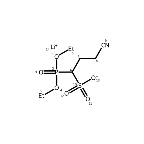 CCOP(=O)(OCC)C(CCC#N)S(=O)(=O)[O-].[Li+]